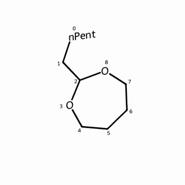 CCCCCCC1OCCCCO1